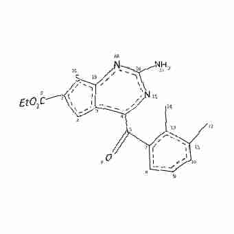 CCOC(=O)c1cc2c(C(=O)c3cccc(C)c3C)nc(N)nc2s1